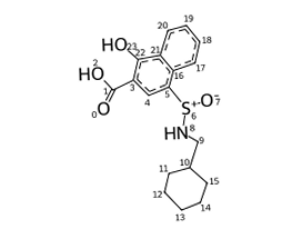 O=C(O)c1cc([S+]([O-])NCC2CCCCC2)c2ccccc2c1O